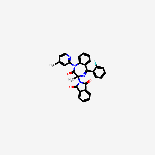 Cc1ccnc(N2C(=O)C(C)(N3C(=O)c4ccccc4C3=O)N=C(c3ccccc3F)c3ccccc32)c1